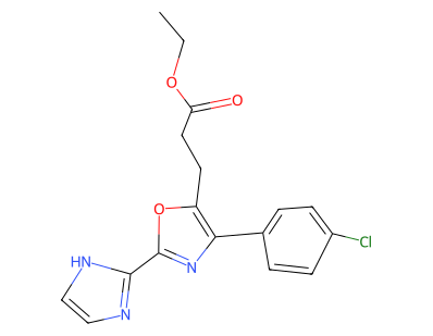 CCOC(=O)CCc1oc(-c2ncc[nH]2)nc1-c1ccc(Cl)cc1